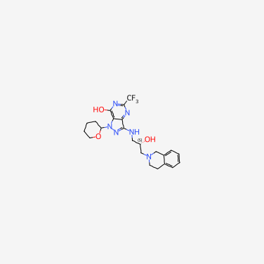 Oc1nc(C(F)(F)F)nc2c(NC[C@H](O)CN3CCc4ccccc4C3)nn(C3CCCCO3)c12